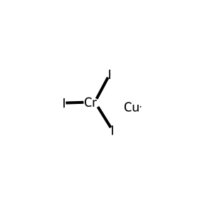 [Cu].[I][Cr]([I])[I]